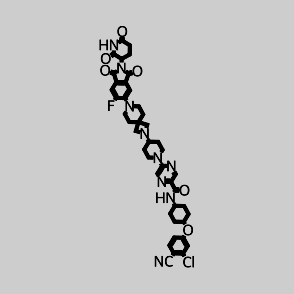 N#Cc1ccc(OC2CCC(NC(=O)c3cnc(N4CCC(N5CC6(CCN(c7cc8c(cc7F)C(=O)N(C7CCC(=O)NC7=O)C8=O)CC6)C5)CC4)cn3)CC2)cc1Cl